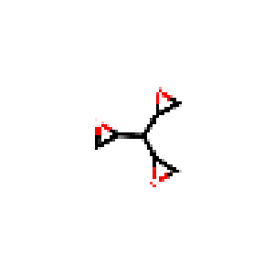 C1OC1C(C1CO1)C1CO1